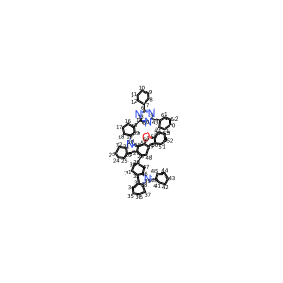 c1ccc(-c2nc(-c3ccccc3)nc(-c3cccc(-n4c5ccccc5c5c(-c6ccc7c8ccccc8n(-c8ccccc8)c7c6)cc6c7ccccc7oc6c54)c3)n2)cc1